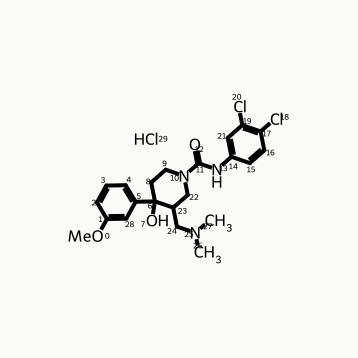 COc1cccc(C2(O)CCN(C(=O)Nc3ccc(Cl)c(Cl)c3)CC2CN(C)C)c1.Cl